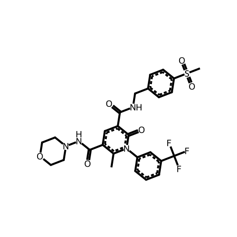 Cc1c(C(=O)NN2CCOCC2)cc(C(=O)NCc2ccc(S(C)(=O)=O)cc2)c(=O)n1-c1cccc(C(F)(F)F)c1